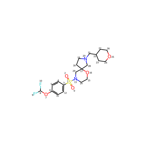 O=S(=O)(c1ccc(OC(F)F)cc1)N1CCOC2(CCN(CC3CCOCC3)C2)C1